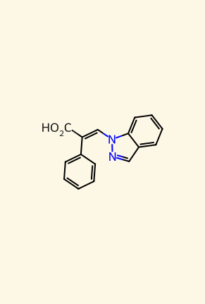 O=C(O)C(=Cn1ncc2ccccc21)c1ccccc1